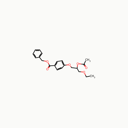 CCOCC(COc1ccc(C(=O)OCc2ccccc2)cc1)OC(C)=O